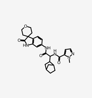 Cn1nccc1C(=O)NC(C(=O)Nc1ccc2c(c1)NC(=O)C21CCOCC1)C1CC2CCC1C2